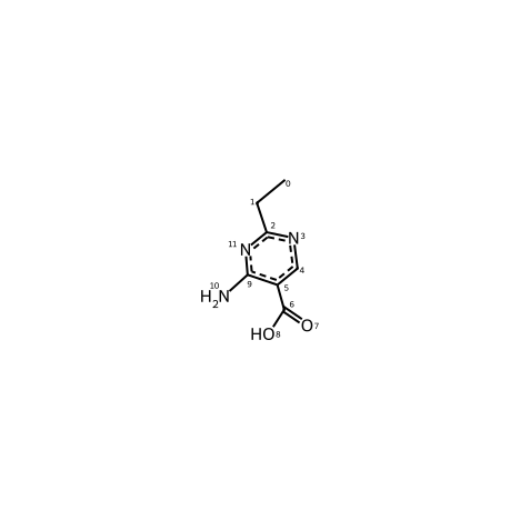 CCc1ncc(C(=O)O)c(N)n1